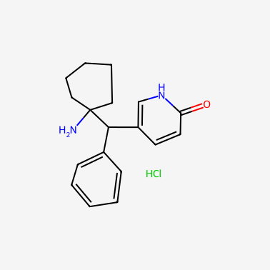 Cl.NC1(C(c2ccccc2)c2ccc(=O)[nH]c2)CCCCC1